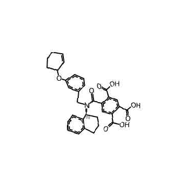 O=C(O)c1cc(C(=O)O)c(C(=O)N(Cc2cccc(OC3C=CCCC3)c2)[C@H]2CCCc3ccccc32)cc1C(=O)O